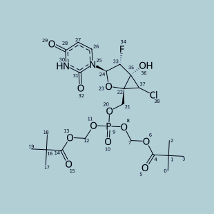 CC(C)(C)C(=O)OCOP(=O)(OCOC(=O)C(C)(C)C)OC[C@@]12O[C@@H](n3ccc(=O)[nH]c3=O)[C@H](F)[C@@]1(O)C2Cl